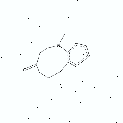 CN1CCC(=O)CCCc2ccccc21